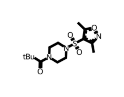 Cc1noc(C)c1S(=O)(=O)N1CCN(C(=O)C(C)(C)C)CC1